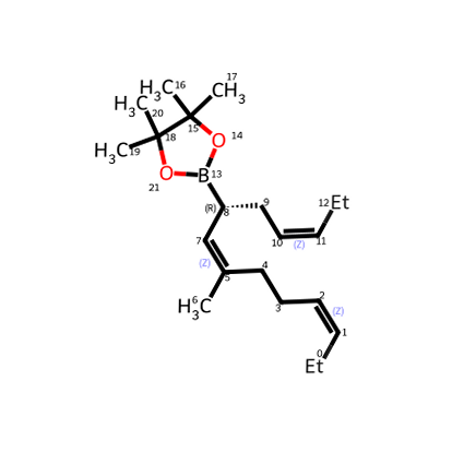 CC/C=C\CC/C(C)=C\[C@@H](C/C=C\CC)B1OC(C)(C)C(C)(C)O1